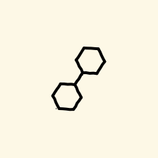 [CH]1CCC([C]2CCCCC2)CC1